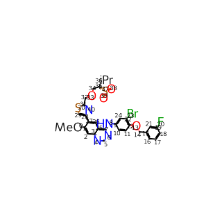 COc1cc2ncnc(Nc3ccc(OCc4cccc(F)c4)c(Br)c3)c2cc1-c1csc(COCC(C(C)C)=S(=O)=O)n1